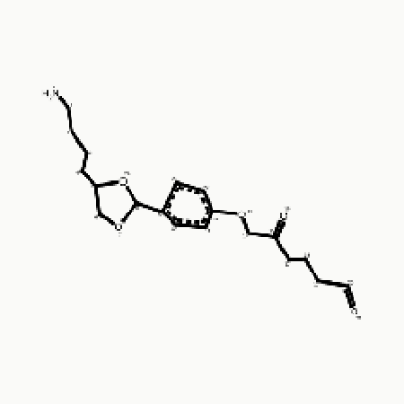 NCCCCC1COC(c2ccc(OCC(=O)CCCC=O)cc2)O1